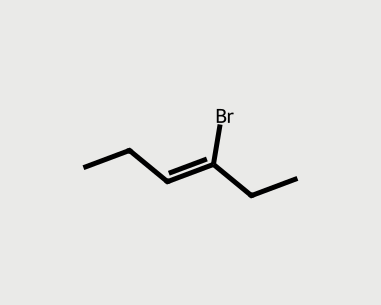 CCC=C(Br)CC